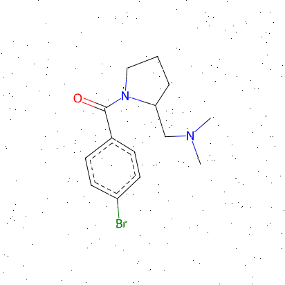 CN(C)CC1CCCN1C(=O)c1ccc(Br)cc1